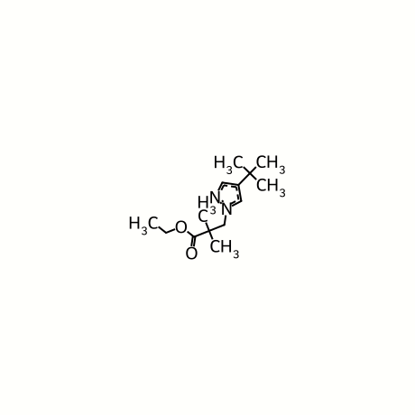 CCOC(=O)C(C)(C)Cn1cc(C(C)(C)C)cn1